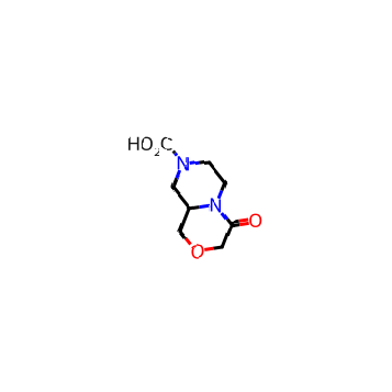 O=C(O)N1CCN2C(=O)COCC2C1